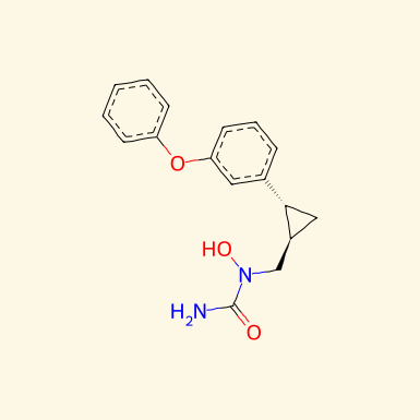 NC(=O)N(O)C[C@@H]1C[C@H]1c1cccc(Oc2ccccc2)c1